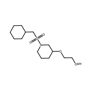 COCCOC1CCCN(S(=O)(=O)C[C]2CCCCC2)C1